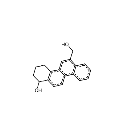 OCc1cc2c3c(ccc2c2ccccc12)C(O)CCC3